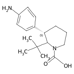 CC(C)(C)C1[C@H](c2ccc(N)cc2)CCCN1C(=O)O